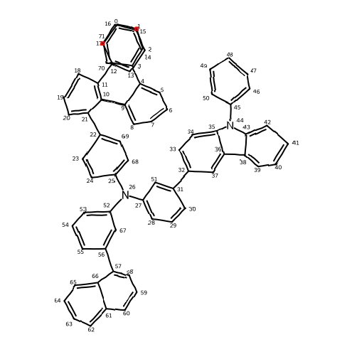 c1ccc(-c2ccccc2-c2c(-c3ccccc3)cccc2-c2ccc(N(c3cccc(-c4ccc5c(c4)c4ccccc4n5-c4ccccc4)c3)c3cccc(-c4cccc5ccccc45)c3)cc2)cc1